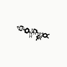 Cc1cc(Nc2ccnc(Nc3ccc(N4CCN(C)CC4)cc3)n2)n(-c2ccc(C)c(C)c2)n1